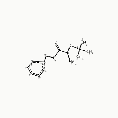 CC(C)(C)CC(N)C(=O)OCc1ccccc1